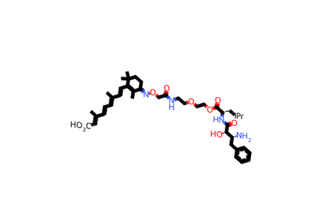 CC1=C(/C=C/C(C)=C/C=C/C(C)=C/C(=O)O)C(C)(C)CC/C1=N\OCC(=O)NCCOCCOC(=O)[C@H](CC(C)C)NC(=O)[C@@H](O)[C@H](N)Cc1ccccc1